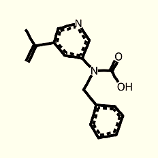 C=C(C)c1cncc(N(Cc2ccccc2)C(=O)O)c1